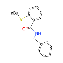 CCCCSc1ccccc1C(=O)NCc1ccccc1